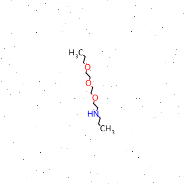 CCCNCCOCCOCCOCCC